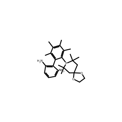 Cc1c(C)c(C)c(P2C(C)(C)CC3(CC2(C)C)OCCO3)c(-c2c(N)cccc2N)c1C